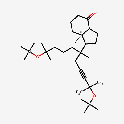 CC(C)(CCCC(C)(CC#CC(O[Si](C)(C)C)(C(F)(F)F)C(F)(F)F)C1CCC2C(=O)CCC[C@@]21C)O[Si](C)(C)C